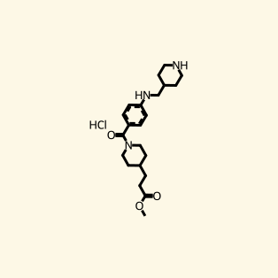 COC(=O)CCC1CCN(C(=O)c2ccc(NCC3CCNCC3)cc2)CC1.Cl